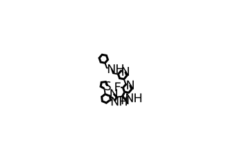 Fc1c(-c2cncc(CNCc3ccccc3)c2)ncc2[nH]nc(-c3nc4c(-c5cccs5)cccc4[nH]3)c12